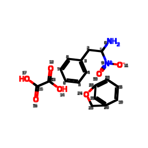 NC(Cc1ccccc1)[N+](=O)[O-].O=C(O)C(=O)O.c1cc2cc(c1)OC2